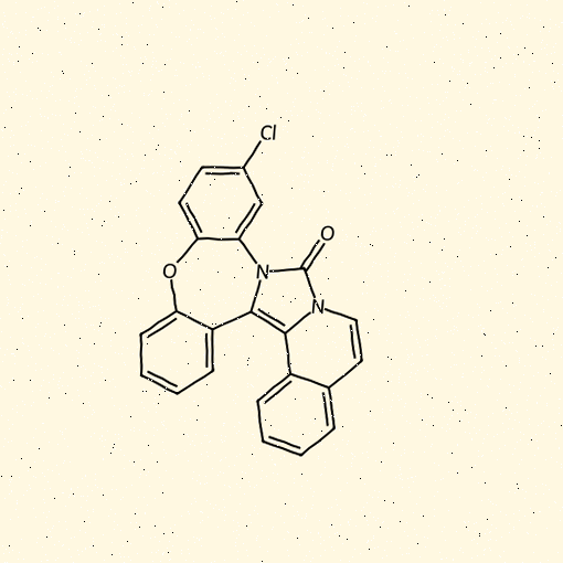 O=c1n2c(c3c4ccccc4ccn13)-c1ccccc1Oc1ccc(Cl)cc1-2